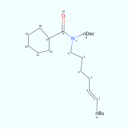 CCCCC=CCCCCN(CCCCCCCCCC)C(=O)C1CCCCC1